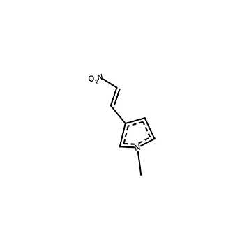 Cn1ccc(C=C[N+](=O)[O-])c1